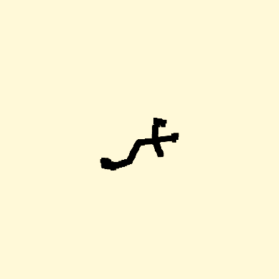 CC(C)C(C)(F)CCC(C)(C)C